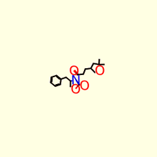 CC1(C)CC(CCC(=O)N2C(=O)OCC2Cc2ccccc2)CO1